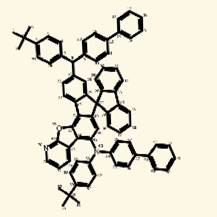 CC(C)(C)c1ccc(C(c2ccc(-c3ccccc3)cc2)c2ccc3c(c2)C2(c4ccccc4-c4ccccc42)c2cc(N(c4ccc(-c5ccccc5)cc4)c4ccc(C(C)(C)C)cc4)c4c(oc5ncccc54)c2-3)cc1